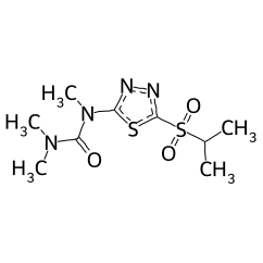 CC(C)S(=O)(=O)c1nnc(N(C)C(=O)N(C)C)s1